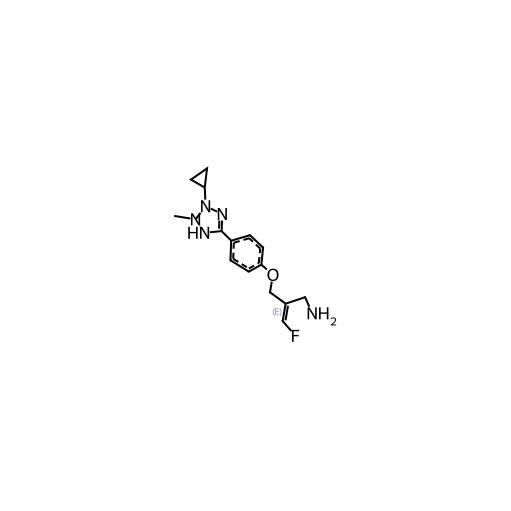 CN1NC(c2ccc(OC/C(=C/F)CN)cc2)=NN1C1CC1